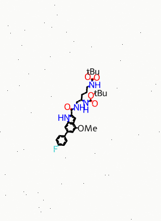 COc1cc(-c2ccc(F)cc2)cc2[nH]c(C(=O)NCC(CCCNC(=O)OC(C)(C)C)NC(=O)OC(C)(C)C)cc12